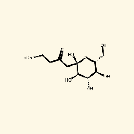 CCCCCCCCCCCCC(=O)C[C@]1(O)O[C@H](CO)[C@@H](O)[C@H](O)[C@H]1O